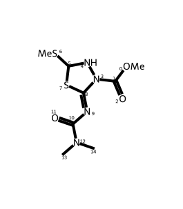 COC(=O)N1NC(SC)SC1=NC(=O)N(C)C